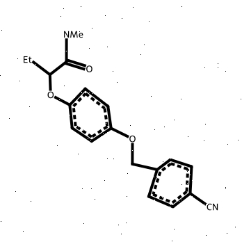 CCC(Oc1ccc(OCc2ccc(C#N)cc2)cc1)C(=O)NC